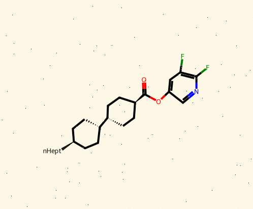 CCCCCCC[C@H]1CC[C@H]([C@H]2CC[C@H](C(=O)Oc3cnc(F)c(F)c3)CC2)CC1